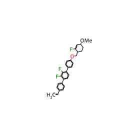 C=Cc1ccc(-c2ccc(-c3ccc(OCC4CCC(OC)C=C4F)cc3)c(F)c2F)cc1